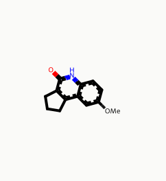 COc1ccc2[nH]c(=O)c3c(c2c1)CCC3